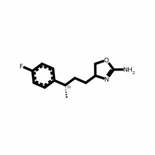 C[C@@H](CCC1COC(N)=N1)c1ccc(F)cc1